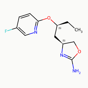 CC[C@@H](C[C@H]1COC(N)=N1)Oc1ccc(F)cn1